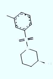 CC(C)c1cccc(S(=O)(=O)N2CCC[C@H](O)C2)c1